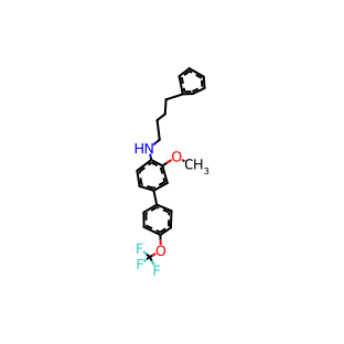 COc1cc(-c2ccc(OC(F)(F)F)cc2)ccc1NCCCCc1ccccc1